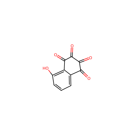 O=c1c(=O)c(=O)c2c(O)cccc2c1=O